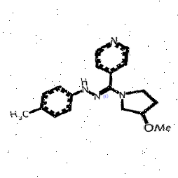 COC1CCN(/C(=N/Nc2ccc(C)cc2)c2ccncc2)C1